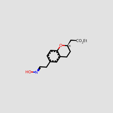 CCOC(=O)C[C@H]1CCc2cc(CC=NO)ccc2O1